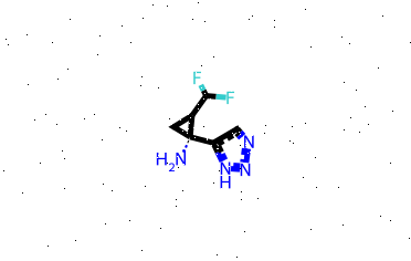 N[C@]1(c2cnn[nH]2)CC1C(F)F